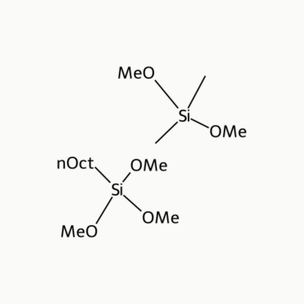 CCCCCCCC[Si](OC)(OC)OC.CO[Si](C)(C)OC